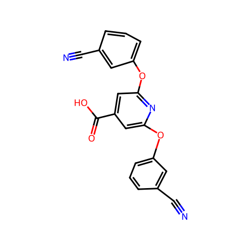 N#Cc1cccc(Oc2cc(C(=O)O)cc(Oc3cccc(C#N)c3)n2)c1